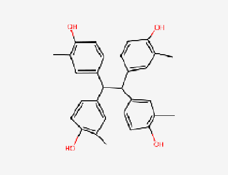 Cc1cc(C(c2ccc(O)c(C)c2)C(c2ccc(O)c(C)c2)c2ccc(O)c(C)c2)ccc1O